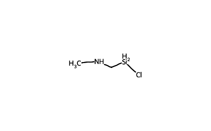 CNC[SiH2]Cl